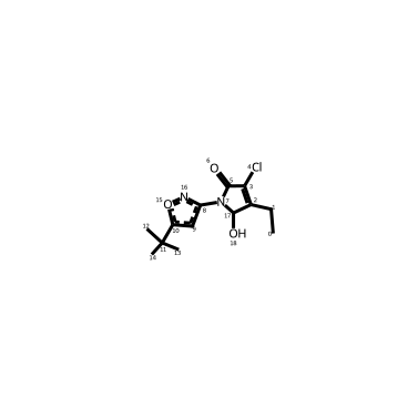 CCC1=C(Cl)C(=O)N(c2cc(C(C)(C)C)on2)C1O